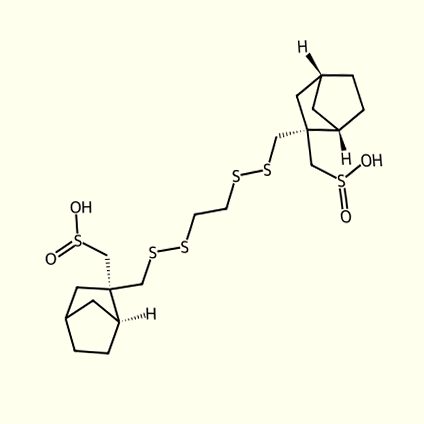 O=S(O)C[C@@]1(CSSCCSSC[C@]2(CS(=O)O)C[C@@H]3CC[C@H]2C3)CC2CC[C@H]1C2